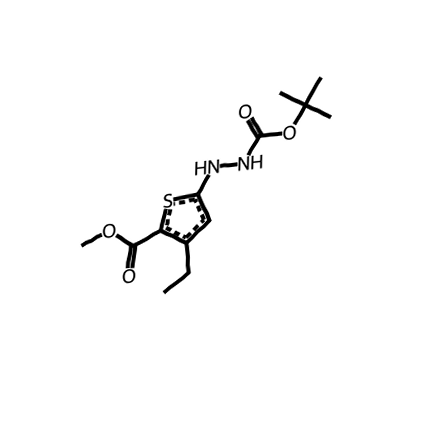 CCc1cc(NNC(=O)OC(C)(C)C)sc1C(=O)OC